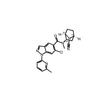 Cc1cccc(-n2ncc3cc(C(=O)N(C)[C@@H]4C[C@@H]5CC[C@H]4N5C#N)c(Cl)cc32)n1